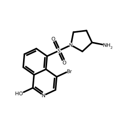 NC1CCN(S(=O)(=O)c2cccc3c(O)ncc(Br)c23)C1